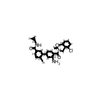 C=CN(Cc1c(Cl)cccc1Cl)C(=O)c1ccc(-c2cc(C(=O)NC3CC3)ccc2C)cc1N